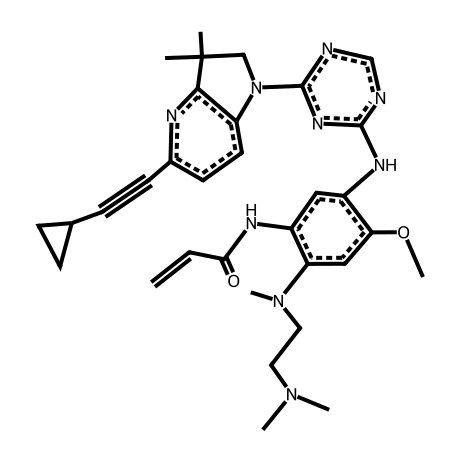 C=CC(=O)Nc1cc(Nc2ncnc(N3CC(C)(C)c4nc(C#CC5CC5)ccc43)n2)c(OC)cc1N(C)CCN(C)C